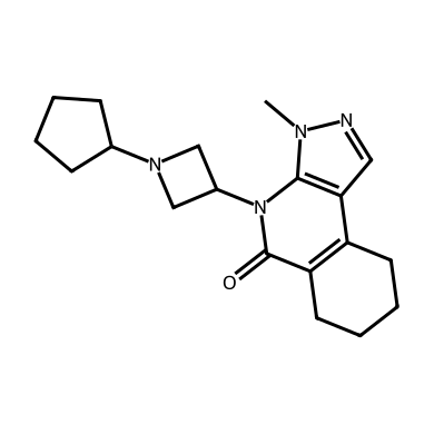 Cn1ncc2c3c(c(=O)n(C4CN(C5CCCC5)C4)c21)CCCC3